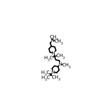 CN(C)CC1CCN(C(C)(C)CCN(C)C2CCN(C(C)(C)C)CC2)CC1